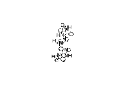 CN(Cc1ccc(C2c3n[nH]c(=O)c4cccc(c34)NC2c2ccccn2)cc1)Cc1cccc(C2Nc3cccc4c(=O)[nH]nc(c34)C2c2ccccc2)n1